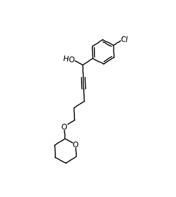 OC(C#CCCCOC1CCCCO1)c1ccc(Cl)cc1